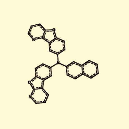 c1ccc2cc(N(c3ccc4oc5ncccc5c4c3)c3ccc4oc5cccnc5c4c3)ccc2c1